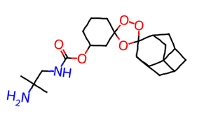 CC(C)(N)CNC(=O)OC1CCCC2(C1)OOC1(O2)C2CC3CC4CC1CC34C2